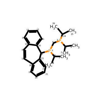 CC(C)P(CP(C(C)C)C1c2ccccc2C=Cc2ccccc21)C(C)C